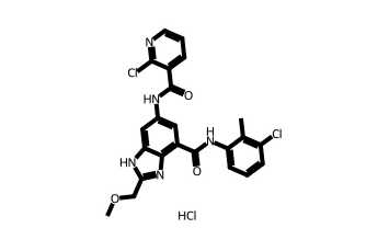 COCc1nc2c(C(=O)Nc3cccc(Cl)c3C)cc(NC(=O)c3cccnc3Cl)cc2[nH]1.Cl